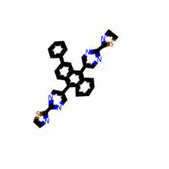 c1ccc(-c2ccc3c(-c4cnc(-c5nccs5)nc4)c4ccccc4c(-c4cnc(-c5nccs5)nc4)c3c2)cc1